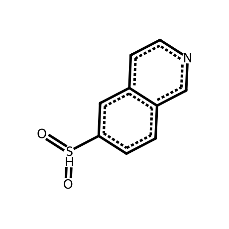 O=[SH](=O)c1ccc2cnccc2c1